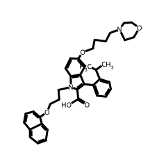 CC(C)c1ccccc1-c1c(C(=O)O)n(CCCOc2cccc3ccccc23)c2ccc(OCCCCN3CCOCC3)cc12